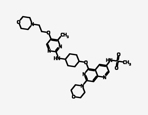 Cc1nc(NC2CCC(Oc3nc(N4CCOCC4)cc4ncc(NS(C)(=O)=O)cc34)CC2)ncc1OCCN1CCOCC1